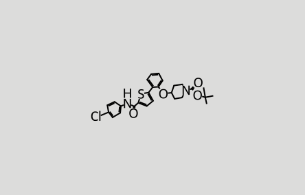 CC(C)(C)OC(=O)N1CCC(Oc2ccccc2-c2ccc(C(=O)Nc3ccc(Cl)cc3)s2)CC1